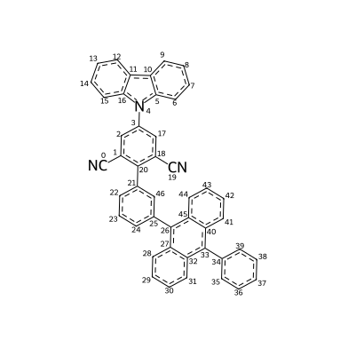 N#Cc1cc(-n2c3ccccc3c3ccccc32)cc(C#N)c1-c1cccc(-c2c3ccccc3c(-c3ccccc3)c3ccccc23)c1